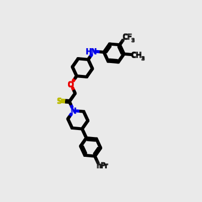 CCCc1ccc(C2CCN(C(=S)COC3CCC(Nc4ccc(C)c(C(F)(F)F)c4)CC3)CC2)cc1